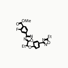 CCc1nc(-c2ccc(OC(CC)c3nc(-c4ccc(C(=O)OC)c(F)c4)no3)cc2)no1